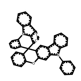 c1ccc(-n2c3ccccc3c3cc4c(cc32)Oc2ccccc2C42c3ccccc3-n3c4ccccc4c4cccc2c43)cc1